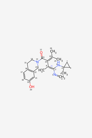 C=N/C(NC1(C)CC1)=C(\C)C(C(=O)N1CCc2ccc(O)cc2C1)=C(C)C